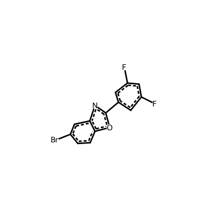 Fc1cc(F)cc(-c2nc3cc(Br)ccc3o2)c1